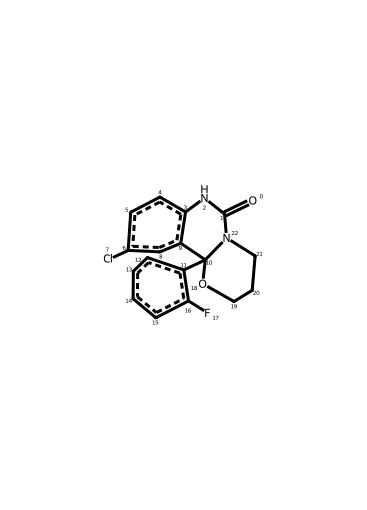 O=C1Nc2ccc(Cl)cc2C2(c3ccccc3F)OCCCN12